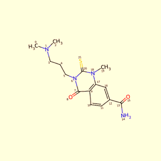 CN(C)CCCn1c(=O)c2ccc(C(N)=O)cc2n(C)c1=S